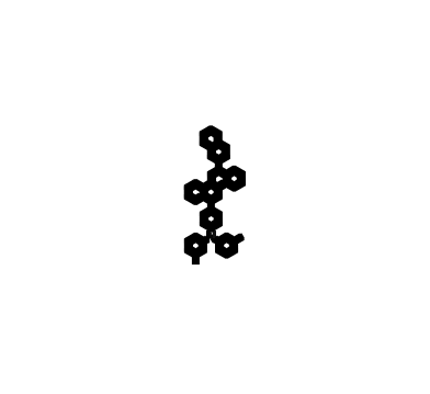 Cc1cccc(N(c2ccc(-c3cc4c5ccccc5c(-c5ccc6ccccc6c5)cc4c4ccccc34)cc2)c2cccc(C)c2)c1